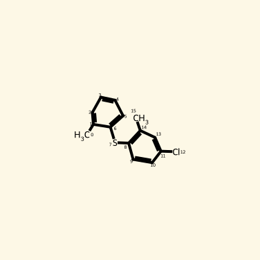 Cc1ccccc1Sc1ccc(Cl)cc1C